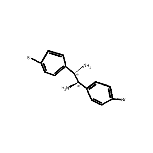 N[C@H](c1ccc(Br)cc1)[C@@H](N)c1ccc(Br)cc1